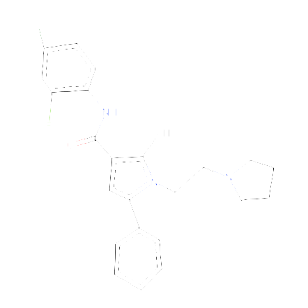 Cc1c(C(=O)Nc2ccc(Cl)cc2F)cc(-c2ccccc2)n1CCN1CCCC1